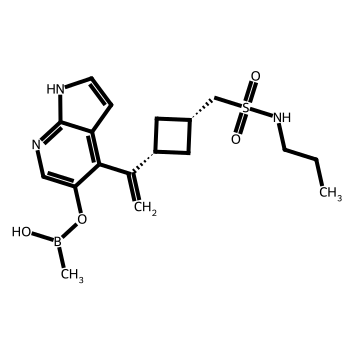 C=C(c1c(OB(C)O)cnc2[nH]ccc12)[C@H]1C[C@@H](CS(=O)(=O)NCCC)C1